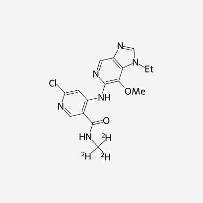 [2H]C([2H])([2H])NC(=O)c1cnc(Cl)cc1Nc1ncc2ncn(CC)c2c1OC